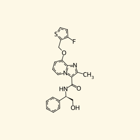 Cc1nc2c(OCc3sccc3F)cccn2c1C(=O)N[C@@H](CO)c1ccccc1